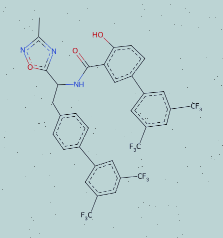 Cc1noc(C(Cc2ccc(-c3cc(C(F)(F)F)cc(C(F)(F)F)c3)cc2)NC(=O)c2cc(-c3cc(C(F)(F)F)cc(C(F)(F)F)c3)ccc2O)n1